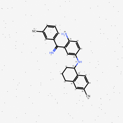 N#Cc1cccc(C(=N)c2cc(NC3CCCc4cc(C#N)ccc43)ccc2N)c1